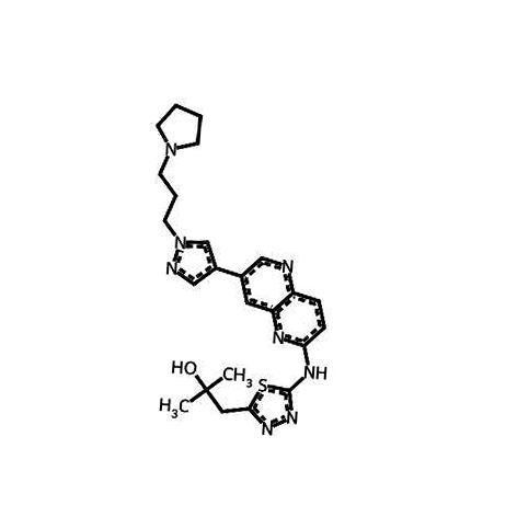 CC(C)(O)Cc1nnc(Nc2ccc3ncc(-c4cnn(CCCN5CCCC5)c4)cc3n2)s1